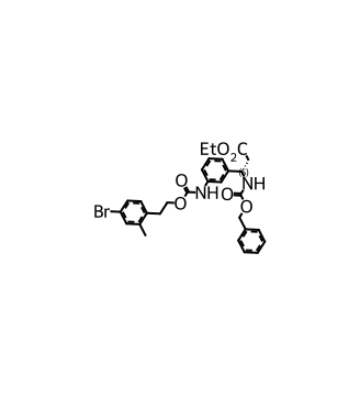 CCOC(=O)C[C@H](NC(=O)OCc1ccccc1)c1cccc(NC(=O)OCCc2ccc(Br)cc2C)c1